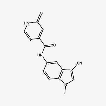 Cn1cc(C#N)c2cc(NC(=O)c3cc(=O)[nH]cn3)ccc21